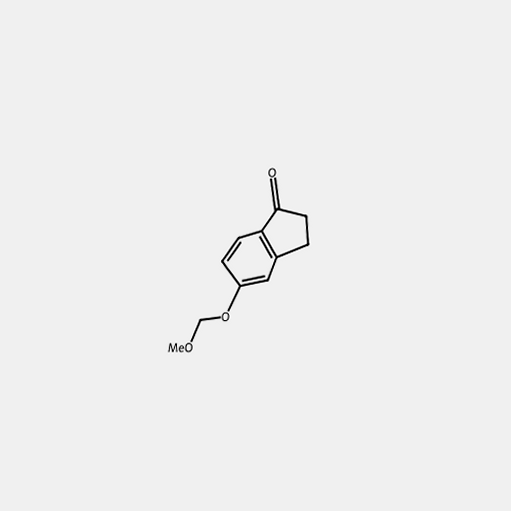 COCOc1ccc2c(c1)CCC2=O